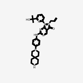 C=CCn1c(=O)c2cnc(Nc3ccc(N4CCC5(CCNCC5)CC4)cc3)nc2n1-c1cccc(C(C)(C)O)n1